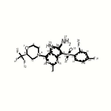 Cc1nc(N2CCO[C@H](C(F)(F)F)C2)c2[nH]c(N)c(S(=O)(=O)c3ccc(F)cc3F)c2n1